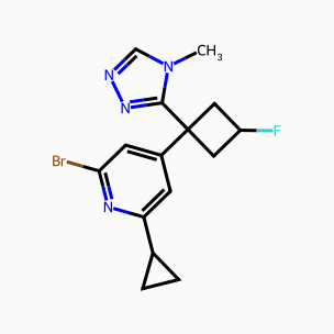 Cn1cnnc1C1(c2cc(Br)nc(C3CC3)c2)CC(F)C1